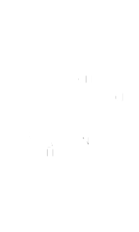 CBc1cc(C)c(Cl)cn1